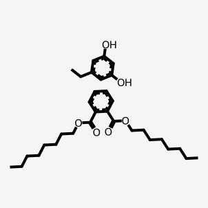 CCCCCCCCOC(=O)c1ccccc1C(=O)OCCCCCCCC.CCc1cc(O)cc(O)c1